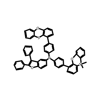 C[Si]1(C)c2ccccc2Oc2c(-c3ccc(N(c4ccc(-c5cccc6c5Sc5ccccc5O6)cc4)c4ccc5oc(-c6ccccc6)c(-c6ccccc6)c5c4)cc3)cccc21